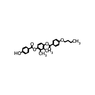 CCCCOc1ccc(C(=O)Oc2ccc(OC(=O)c3ccc(O)cc3)c(C)c2C)cc1